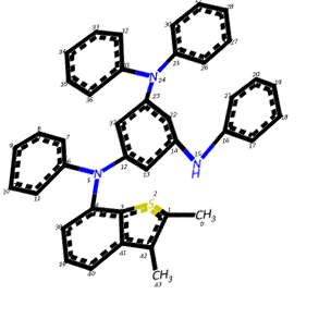 Cc1sc2c(N(c3ccccc3)c3cc(Nc4ccccc4)cc(N(c4ccccc4)c4ccccc4)c3)cccc2c1C